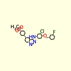 CS(=O)(=O)c1ccc(-c2ccc3ncnc(Nc4ccc(OCc5cccc(F)c5)c(Cl)c4)c3c2)cc1